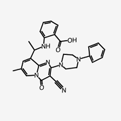 Cc1cc(C(C)Nc2ccccc2C(=O)O)c2nc(N3CCN(c4ccccc4)CC3)c(C#N)c(=O)n2c1